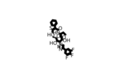 Cc1sc2ccccc2c1C(=O)N[C@@H]1CCO[C@]12O[C@H](CO)[C@H](O)[C@H](n1cc(-c3cc(F)c(F)c(F)c3)nn1)[C@H]2O